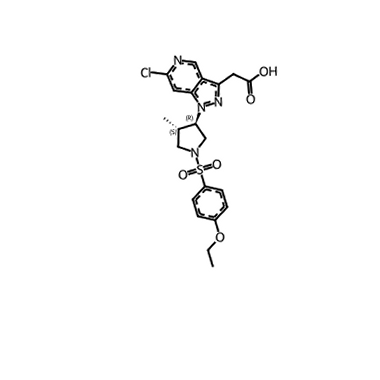 CCOc1ccc(S(=O)(=O)N2C[C@H](C)[C@@H](n3nc(CC(=O)O)c4cnc(Cl)cc43)C2)cc1